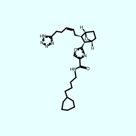 O=C(NCCCCC1CCCCC1)c1coc([C@H]2[C@@H](C/C=C\CCc3nnn[nH]3)[C@@H]3CC[C@H]2O3)n1